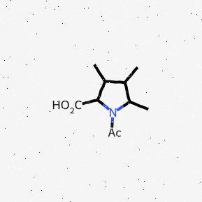 CC(=O)N1C(C)C(C)C(C)C1C(=O)O